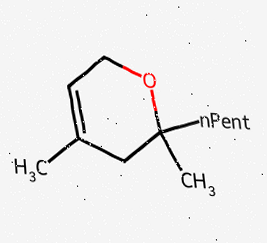 CCCCCC1(C)CC(C)=CCO1